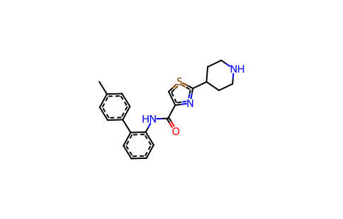 Cc1ccc(-c2ccccc2NC(=O)c2csc(C3CCNCC3)n2)cc1